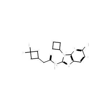 O=C(CC1CC(F)(F)C1)Nc1nc2ccc(Cl)nc2n1C1CCC1